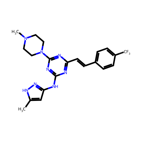 Cc1cc(Nc2nc(/C=C/c3ccc(C(F)(F)F)cc3)nc(N3CCN(C)CC3)n2)n[nH]1